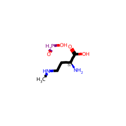 CNCC[C@H](N)C(=O)O.O=[PH2]O